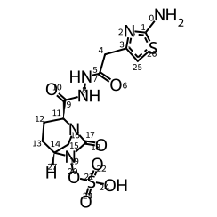 Nc1nc(CC(=O)NNC(=O)[C@@H]2CC[C@@H]3CN2C(=O)N3OS(=O)(=O)O)cs1